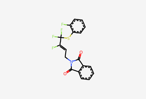 O=C1c2ccccc2C(=O)N1CC=C(F)C(F)(F)Sc1ccccc1F